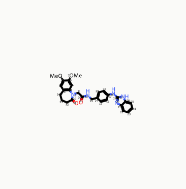 COc1cc2c(cc1OC)N(CC(=O)NCc1ccc(Nc3nc4ccccc4[nH]3)cc1)C(=O)CC[CH]2